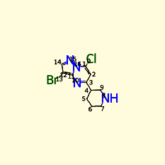 Clc1cc(C2CCCNC2)nc2c(Br)cnn12